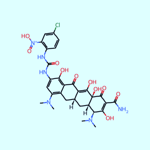 CN(C)c1cc(NC(=O)Nc2ccc(Cl)cc2[N+](=O)O)c(O)c2c1C[C@H]1C[C@H]3[C@H](N(C)C)C(O)=C(C(N)=O)C(=O)[C@@]3(O)C(O)=C1C2=O